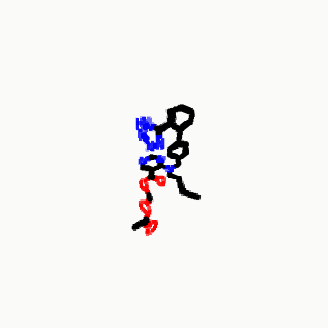 CCCCN(Cc1ccc(-c2ccccc2-c2nnn[nH]2)cc1)c1ncncc1C(=O)OCOC(C)=O